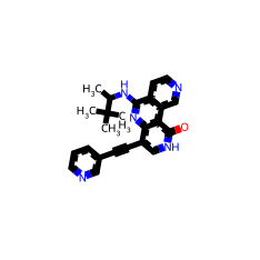 CC(Nc1nc2c(C#Cc3cccnc3)c[nH]c(=O)c2c2cnccc12)C(C)(C)C